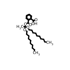 CCCCCCCCCCOC(C)(OCCCCCCCCCC)OC(=O)c1ccccc1C(=O)O